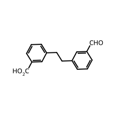 O=Cc1cccc(CCc2cccc(C(=O)O)c2)c1